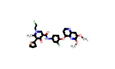 COc1cc2nccc(Oc3ccc(NC(=O)c4cn(CCF)c(C)c(-c5cccs5)c4=O)cc3F)c2nc1OC